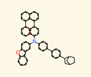 c1ccc(-c2cccc3cccc(-c4ccc(N(c5ccc(-c6ccc(C7CC8CCC7C8)cc6)cc5)c5ccc6oc7ccccc7c6c5)cc4)c23)cc1